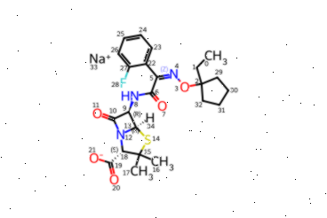 CCC1(O/N=C(\C(=O)N[C@@H]2C(=O)N3[C@@H]2SC(C)(C)[C@@H]3C(=O)[O-])c2ccccc2F)CCCC1.[Na+]